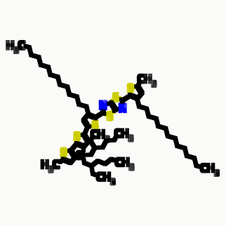 CCCCCCCCCCCCCCc1cc(C)sc1-c1nc2sc(-c3sc(-c4cc5c(s4)-c4sc(C)cc4[Si]5(CC(CC)CCCC)CC(CC)CCCC)cc3CCCCCCCCCCCCCC)nc2s1